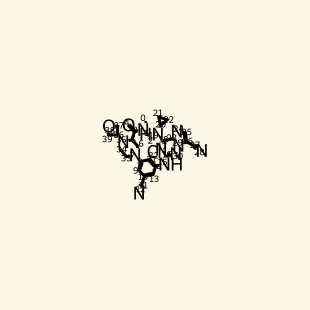 CN(C)C(=O)C1CN(c2cc(C#N)cc(Nc3nc(NC4CC4)c4ncc(C#N)n4n3)c2Cl)CCN1C1COC1